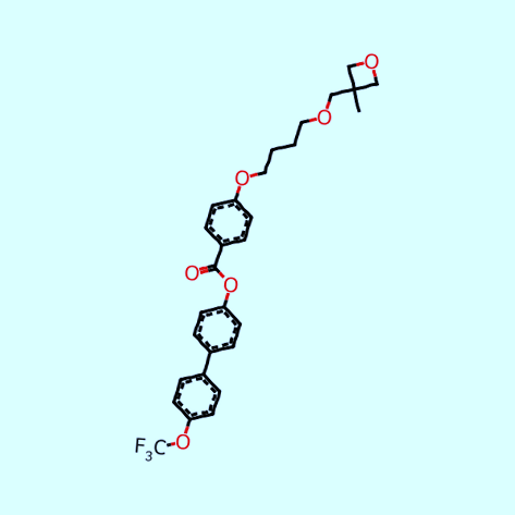 CC1(COCCCCOc2ccc(C(=O)Oc3ccc(-c4ccc(OC(F)(F)F)cc4)cc3)cc2)COC1